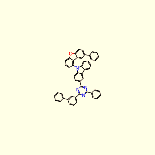 c1ccc(-c2cccc(-c3nc(-c4ccccc4)nc(-c4ccc5c(c4)c4ccccc4n5-c4cccc5oc6ccc(-c7ccccc7)cc6c45)n3)c2)cc1